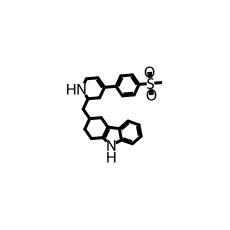 CS(=O)(=O)c1ccc(C2=CCNC(CC3CCc4[nH]c5ccccc5c4C3)C2)cc1